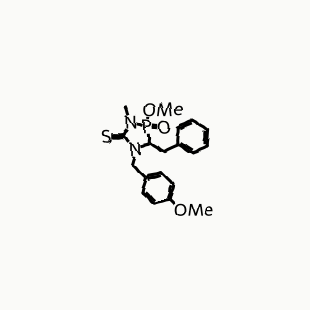 COc1ccc(CN2C(=S)N(C)P(=O)(OC)C2Cc2ccccc2)cc1